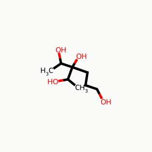 CC(O)C(O)(CCCO)C(C)O